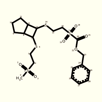 CS(=O)(=O)CCSC1C2CCCC2C1SCCS(=O)(=O)C(=O)OCc1ccccc1